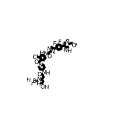 BCNC(CCO)CC(=O)NC1CCN(C(=O)c2ccc(NC(=O)c3ncc(-c4ccc(/C(=C/N(C)CCOC)C(C)=N)c(F)c4F)n3C)cc2Cl)CC1